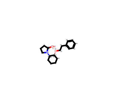 OC1CCCN1[C@@H]1CCCC[C@H]1OCCc1ccccc1